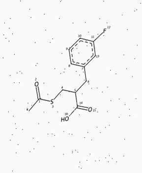 CC(=O)SCC(Cc1cccc(F)c1)C(=O)O